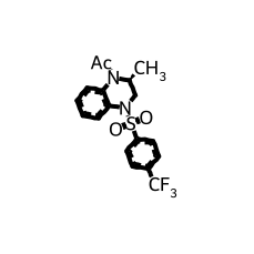 CC(=O)N1c2ccccc2N(S(=O)(=O)c2ccc(C(F)(F)F)cc2)C[C@@H]1C